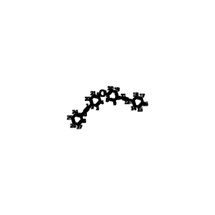 C(#Cc1ccc(Oc2ccc(C#Cc3ccccc3)cc2)cc1)c1ccccc1